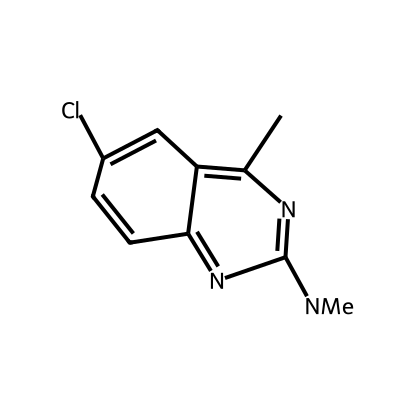 CNc1nc(C)c2cc(Cl)ccc2n1